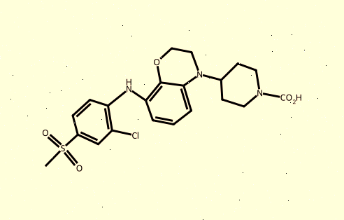 CS(=O)(=O)c1ccc(Nc2cccc3c2OCCN3C2CCN(C(=O)O)CC2)c(Cl)c1